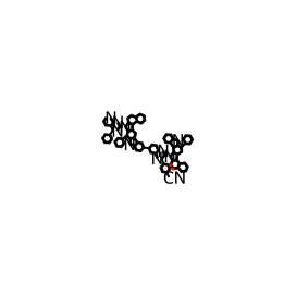 N#Cc1ccc(-c2nc3cc(-c4ccc5c(c4)c4cc6c7c8ccccc8ccc7n(-c7nc(-c8ccccc8)c8cccnc8n7)c6c6c7ccccc7n5c46)ccc3nc2-n2c3ccc4ccccc4c3c3cc4c5ccccc5n5c6ccccc6c(c32)c45)cc1